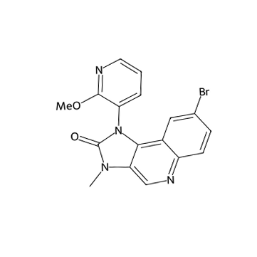 COc1ncccc1-n1c(=O)n(C)c2cnc3ccc(Br)cc3c21